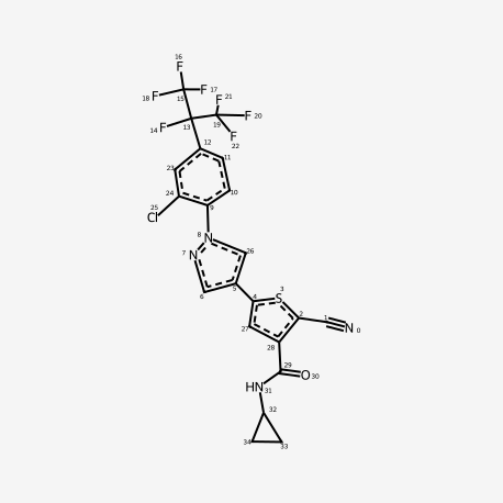 N#Cc1sc(-c2cnn(-c3ccc(C(F)(C(F)(F)F)C(F)(F)F)cc3Cl)c2)cc1C(=O)NC1CC1